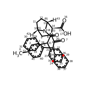 Cc1ccc(C(C(=O)N2C[C@@H]3CC[C@H]([C@H]2C(=O)O)N3C(=O)C(c2ccccc2)c2ccccc2)c2ccccc2)cc1